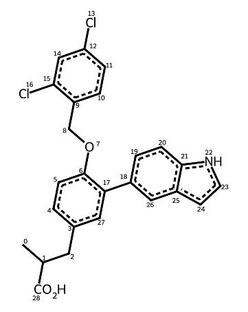 CC(Cc1ccc(OCc2ccc(Cl)cc2Cl)c(-c2ccc3[nH]ccc3c2)c1)C(=O)O